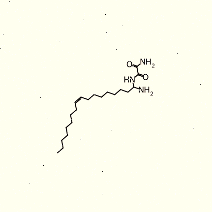 CCCCCCCC/C=C\CCCCCCCC(N)NC(=O)C(N)=O